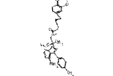 Cc1ccc(-c2nn(C(C)(C)CNC(=O)CCCc3ccc4c(c3)OCCO4)c3ncnc(N)c23)cc1